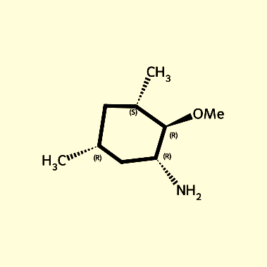 CO[C@H]1[C@H](N)C[C@H](C)C[C@@H]1C